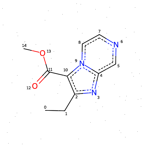 CCc1nc2cnccn2c1C(=O)OC